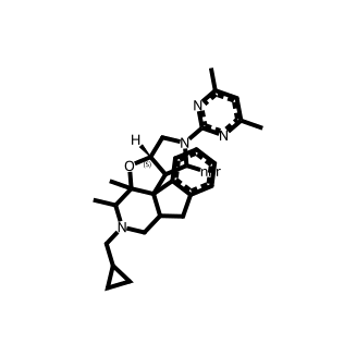 CCCC1C2[C@@H](CN1c1nc(C)cc(C)n1)OC1(C)C(C)N(CC3CC3)CC3Cc4ccccc4C321